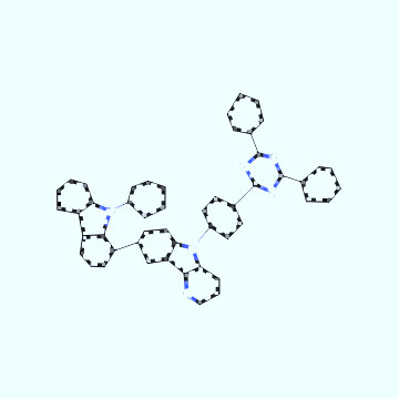 c1ccc(-c2nc(-c3ccccc3)nc(-c3ccc(-n4c5ccc(-c6cccc7c8ccccc8n(-c8ccccc8)c67)cc5c5ncccc54)cc3)n2)cc1